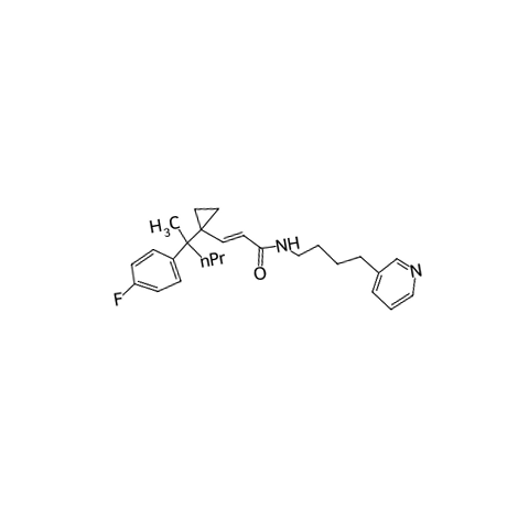 CCCC(C)(c1ccc(F)cc1)C1(/C=C/C(=O)NCCCCc2cccnc2)CC1